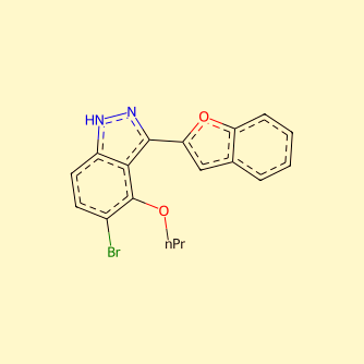 CCCOc1c(Br)ccc2[nH]nc(-c3cc4ccccc4o3)c12